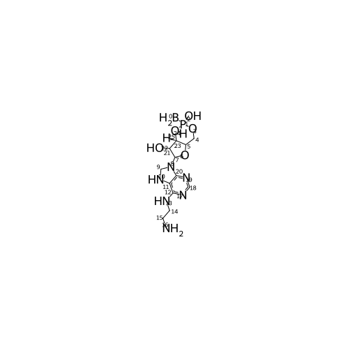 B[PH]1(O)OCC2OC(N3CNc4c(NCCN)ncnc43)C(O)[C@@H]2O1